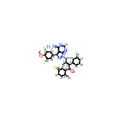 COc1c(F)cc(-c2nn(C/C(C)=C(/C(=O)c3cc(F)ccc3C)c3cccc(F)c3)c3ncnc(N)c23)cc1F